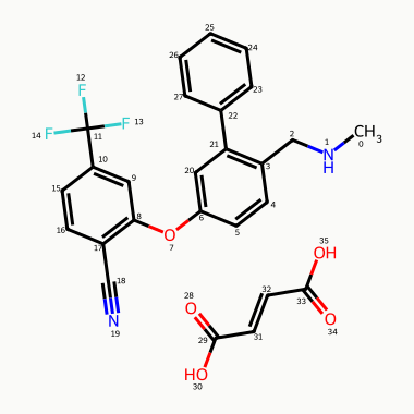 CNCc1ccc(Oc2cc(C(F)(F)F)ccc2C#N)cc1-c1ccccc1.O=C(O)C=CC(=O)O